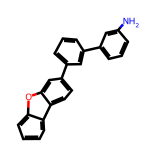 Nc1cccc(-c2cccc(-c3ccc4c(c3)oc3ccccc34)c2)c1